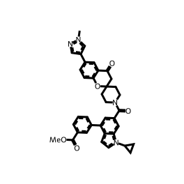 COC(=O)c1cccc(-c2cc(C(=O)N3CCC4(CC3)CC(=O)c3cc(-c5cnn(C)c5)ccc3O4)cc3c2ccn3C2CC2)c1